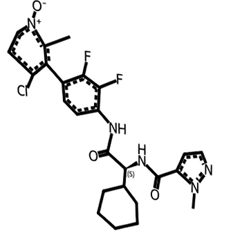 Cc1c(-c2ccc(NC(=O)[C@@H](NC(=O)c3ccnn3C)C3CCCCC3)c(F)c2F)c(Cl)cc[n+]1[O-]